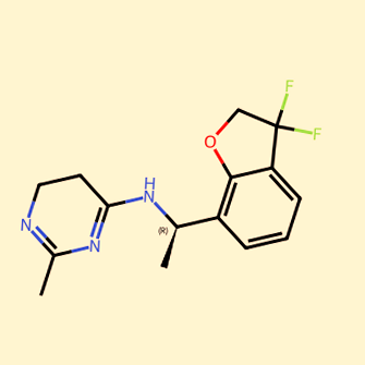 CC1=NCCC(N[C@H](C)c2cccc3c2OCC3(F)F)=N1